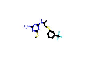 CSc1nc(N)nc(NC(C)CSc2cccc(C(F)(F)F)c2)n1